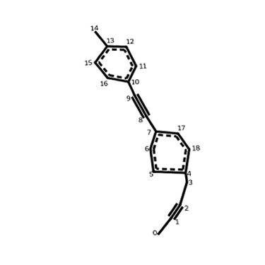 CC#CCc1ccc(C#Cc2ccc(C)cc2)cc1